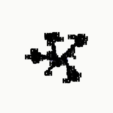 CC(=O)NC1C(OCCOCCN/C=C(\N)CN(CCCCC(C(=O)NCCCCCCO)N(C/C(N)=C/NCCOCCOC2OC(CO)C(O)C(O)C2NC(C)=O)C/C(N)=C/NCCOCCOC2OC(CO)C(O)C(O)C2NC(C)=O)C/C(N)=C/NCCOCCOC2OC(CO)C(O)C(O)C2NC(C)=O)OC(CO)C(O)C1O